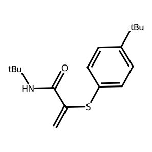 C=C(Sc1ccc(C(C)(C)C)cc1)C(=O)NC(C)(C)C